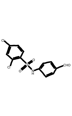 O=Cc1ccc(NS(=O)(=O)c2ccc(Cl)cc2Cl)cc1